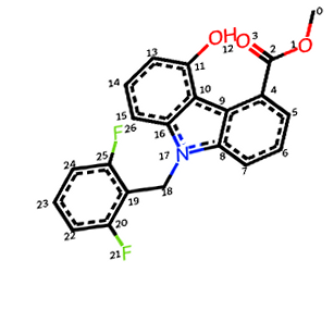 COC(=O)c1cccc2c1c1c(O)cccc1n2Cc1c(F)cccc1F